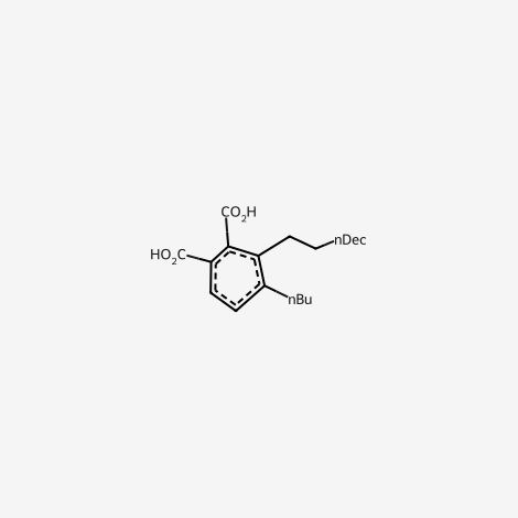 CCCCCCCCCCCCc1c(CCCC)ccc(C(=O)O)c1C(=O)O